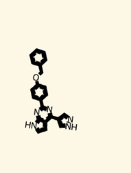 c1ccc(COc2ccc(-c3nc(-c4cn[nH]c4)c4cc[nH]c4n3)cc2)cc1